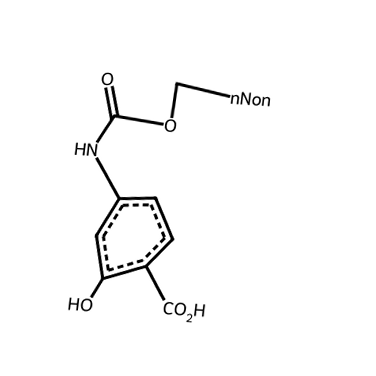 CCCCCCCCCCOC(=O)Nc1ccc(C(=O)O)c(O)c1